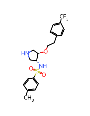 Cc1ccc(S(=O)(=O)N[C@@H]2CNC[C@H]2OCCc2ccc(C(F)(F)F)cc2)cc1